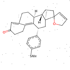 CSc1ccc([C@H]2C[C@@]3(C)[C@@H](CCC34C=CCO4)[C@@H]3CCC4=CC(=O)CCC4=C32)cc1